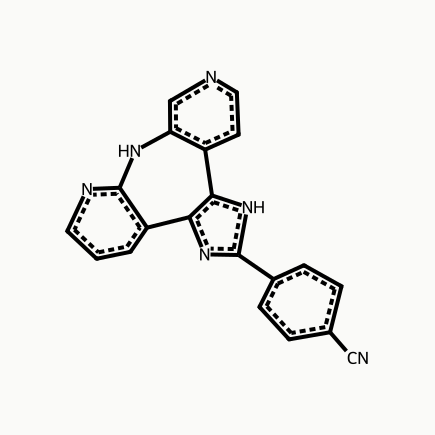 N#Cc1ccc(-c2nc3c([nH]2)-c2ccncc2Nc2ncccc2-3)cc1